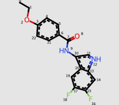 CCOc1ccc(C(=O)Nc2c[nH]c3cc(F)c(F)cc23)cc1